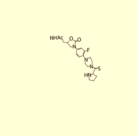 CC(=O)NCC1CN(c2ccc(N3CCN(C(=S)C4CCCN4)CC3)c(F)c2)C(=O)O1